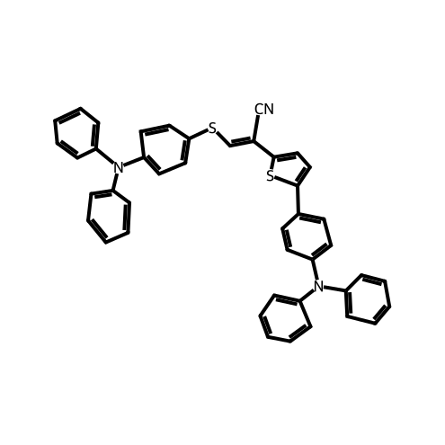 N#C/C(=C\Sc1ccc(N(c2ccccc2)c2ccccc2)cc1)c1ccc(-c2ccc(N(c3ccccc3)c3ccccc3)cc2)s1